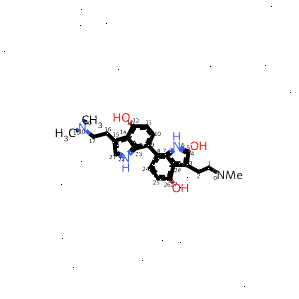 CNCCc1c(O)[nH]c2c(-c3ccc(O)c4c(CCN(C)C)c[nH]c34)ccc(O)c12